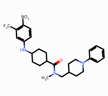 CN(CC1CCN(c2ccccc2)CC1)C(=O)C1CCC(Nc2ccc([N+](=O)[O-])c(C(F)(F)F)c2)CC1